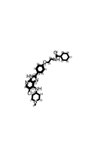 CN1CCC(Nc2c(Cl)cnc3[nH]c(-c4ccc(OCCNC(=O)C5CCCCC5)cc4)nc23)CC1